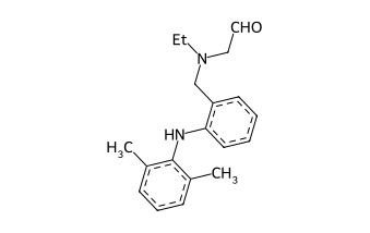 CCN(CC=O)Cc1ccccc1Nc1c(C)cccc1C